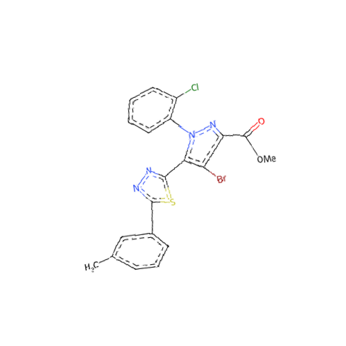 COC(=O)c1nn(-c2ccccc2Cl)c(-c2nnc(-c3cccc(C)c3)s2)c1Br